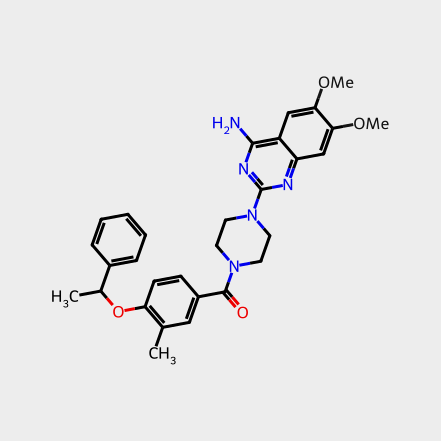 COc1cc2nc(N3CCN(C(=O)c4ccc(OC(C)c5ccccc5)c(C)c4)CC3)nc(N)c2cc1OC